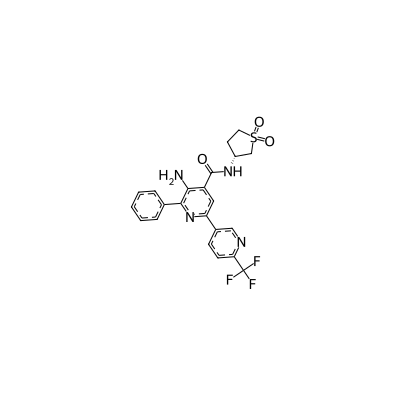 Nc1c(C(=O)N[C@@H]2CCS(=O)(=O)C2)cc(-c2ccc(C(F)(F)F)nc2)nc1-c1ccccc1